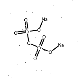 [O]=[Cr](=[O])([O][Na])[O][Cr](=[O])(=[O])[O][Na]